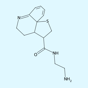 NCCNC(=O)C1CSC23C=CC=CC2=NCCC13